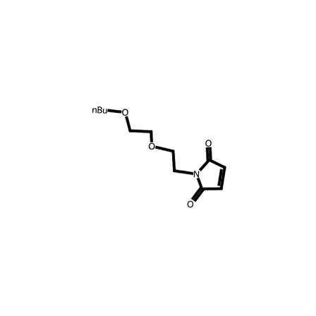 CCCCOCCOCCN1C(=O)C=CC1=O